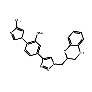 COc1cc(-c2cn(CC3CNc4ccccc4O3)nn2)ccc1-n1cnc(C)c1